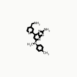 Cc1ccc(N(C)c2cc(-c3cc(CN)ccn3)c3nc(N)sc3n2)cc1